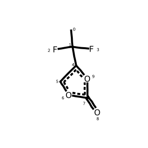 CC(F)(F)c1coc(=O)o1